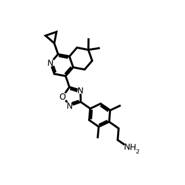 Cc1cc(-c2noc(-c3cnc(C4CC4)c4c3CCC(C)(C)C4)n2)cc(C)c1CCN